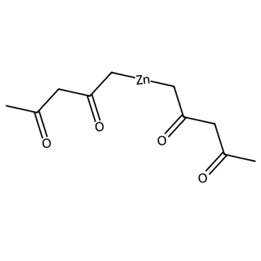 CC(=O)CC(=O)[CH2][Zn][CH2]C(=O)CC(C)=O